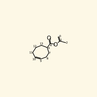 C=C(C)OC(=O)C1CC/C=C\CCC1